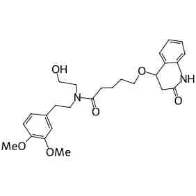 COc1ccc(CCN(CCO)C(=O)CCCCOC2CC(=O)Nc3ccccc32)cc1OC